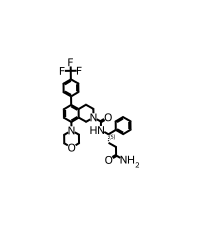 NC(=O)CC[C@H](NC(=O)N1CCc2c(-c3ccc(C(F)(F)F)cc3)ccc(N3CCOCC3)c2C1)c1ccccc1